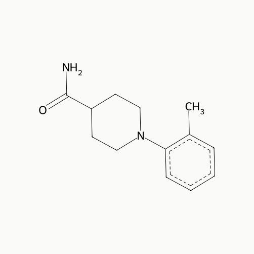 Cc1ccccc1N1CCC(C(N)=O)CC1